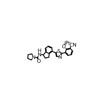 CC(C)Oc1c(C#N)cccc1-c1ncc(-c2cccc3c2CCC3NC(=O)N2CCCC2)s1